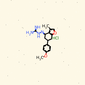 COc1ccc(C2CC(=NNC(=N)N)c3c(C)coc3C2)cc1.Cl